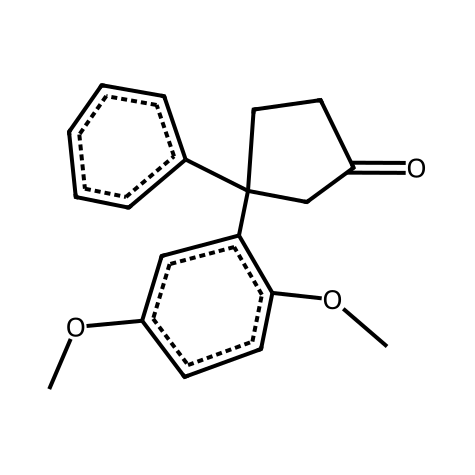 COc1ccc(OC)c(C2(c3ccccc3)CCC(=O)C2)c1